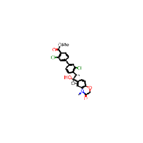 COC(=O)c1ccc(-c2ccc([C@H](C)[C@](O)(c3ccc4c(c3)N(C)C(=O)CO4)C(F)(F)F)c(Cl)c2)cc1Cl